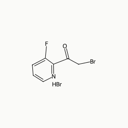 Br.O=C(CBr)c1ncccc1F